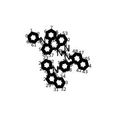 c1ccc(-n2c3ccccc3c3c(-c4nc(-n5c6cc(-n7c8ccccc8c8ccc9ccccc9c87)ccc6c6c7ccccc7ccc65)nc5ccccc45)cccc32)cc1